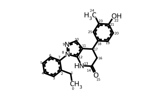 CCc1ccccc1-n1ncc2c1NC(=O)CC2c1ccc(O)c(C)c1